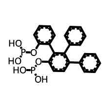 OP(O)Oc1ccccc1-c1c(OP(O)O)ccc(-c2ccccc2)c1-c1ccccc1